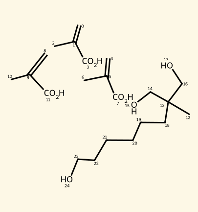 C=C(C)C(=O)O.C=C(C)C(=O)O.C=C(C)C(=O)O.CC(CO)(CO)CCCCCCO